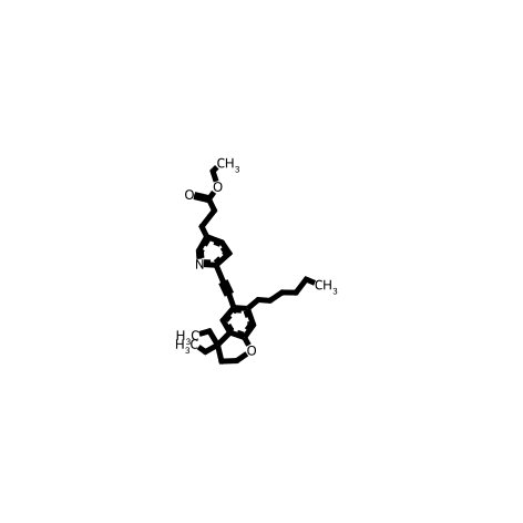 CCCCCCc1cc2c(cc1C#Cc1ccc(CCC(=O)OCC)cn1)C(CC)(CC)CCO2